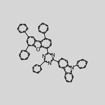 c1ccc(-c2cc(-c3ccccc3)c3oc4c(-c5nc(-c6ccccc6)nc(-c6ccc7c(c6)c6ccccc6n7-c6ccccc6)n5)ccc(-c5ccccc5)c4c3c2)cc1